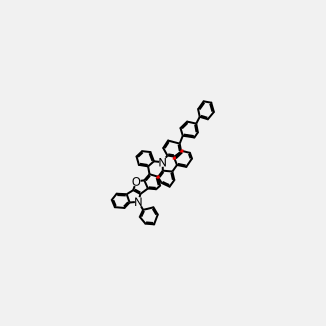 c1ccc(-c2ccc(-c3ccc(N(c4ccccc4-c4ccccc4)c4ccccc4-c4cccc5c4oc4c6ccccc6n(-c6ccccc6)c54)cc3)cc2)cc1